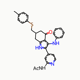 CC(=O)Nc1cc(-c2[nH]c3c(c2Nc2ccccc2)C(=O)CC(CSc2ccc(C)cc2)C3)ccn1